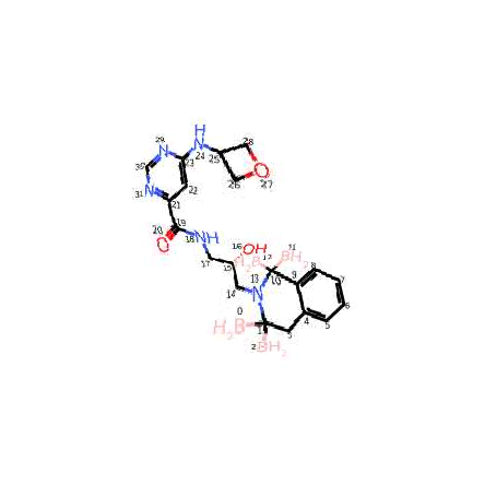 BC1(B)Cc2ccccc2C(B)(B)N1C[C@@H](O)CNC(=O)c1cc(NC2COC2)ncn1